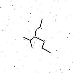 CC[O][Al]([O]CC)[CH](C)C